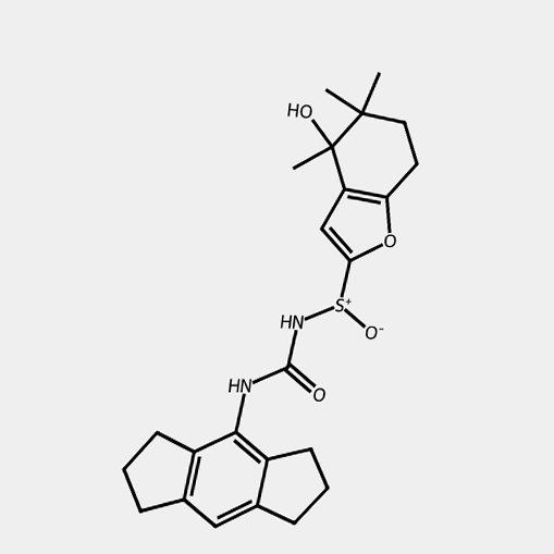 CC1(C)CCc2oc([S+]([O-])NC(=O)Nc3c4c(cc5c3CCC5)CCC4)cc2C1(C)O